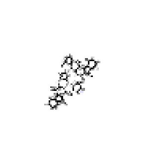 Cc1nccn1C[C@H]1CC(OC(=O)/C=C\C(=O)OC2C[C@H](Cn3ccnc3C)C(=O)c3c2n(C)c2ccccc32)c2c(c3ccccc3n2C)C1=O